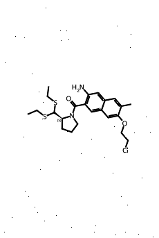 CCSC(SCC)[C@@H]1CCCN1C(=O)c1cc2cc(OCCCl)c(C)cc2cc1N